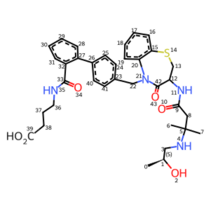 C[C@H](O)CNC(C)(C)CC(=O)NC1CSc2ccccc2N(Cc2ccc(-c3ccccc3C(=O)NCCCC(=O)O)cc2)C1=O